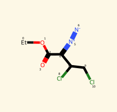 CCOC(=O)C(=[N+]=[N-])C(Cl)CCl